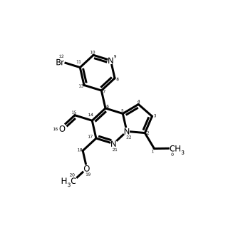 CCc1ccc2c(-c3cncc(Br)c3)c(C=O)c(COC)nn12